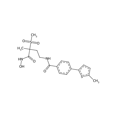 Cc1ccc(-c2ccc(C(=O)NCCC(C)(C(=O)NO)S(C)(=O)=O)cc2)s1